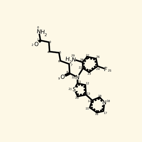 NC(=O)CCCCCC(=O)N(c1cc(-c2cccnc2)cs1)c1cc(F)ccc1N